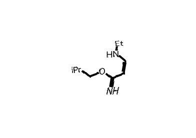 CCN/C=C\C(=N)OCC(C)C